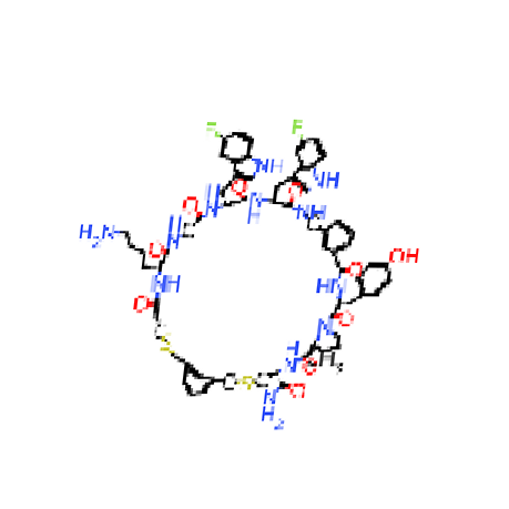 C[C@@]12CCCN1C(=O)[C@H](Cc1ccc(O)cc1)NC(=O)c1cccc(c1)CNC(=O)[C@H](Cc1c[nH]c3ccc(F)cc13)NC(=O)[C@H](Cc1c[nH]c3ccc(F)cc13)NC(=O)CNC(=O)[C@H](CCCCN)NC(=O)CCSCc1cccc(c1)CSC[C@@H](C(N)=O)NC2=O